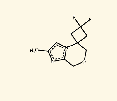 Cc1cn2c(n1)COCC21CC(F)(F)C1